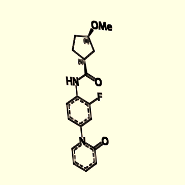 CO[C@@H]1CC[C@H](C(=O)Nc2ccc(-n3ccccc3=O)cc2F)C1